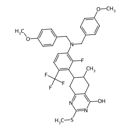 COc1ccc(CN(Cc2ccc(OC)cc2)c2ccc(C(F)(F)F)c(C3Cc4nc(SC)nc(O)c4CC3C)c2F)cc1